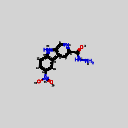 NNC(=O)c1cc2c(cn1)[nH]c1ccc([N+](=O)[O-])cc12